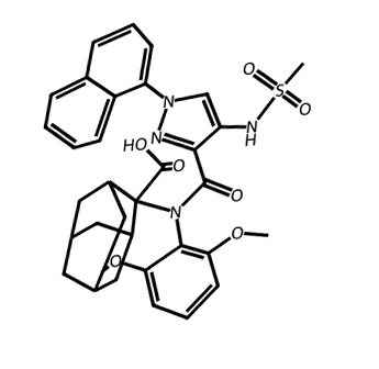 COc1cccc(OC)c1N(C(=O)c1nn(-c2cccc3ccccc23)cc1NS(C)(=O)=O)C1(C(=O)O)C2CC3CC(C2)CC1C3